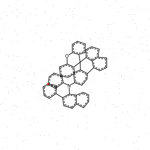 c1ccc(-c2ccc3ccccc3c2N(c2ccccc2)c2ccc3c(c2)C2(c4ccccc4Oc4ccccc42)c2cccc4cccc-3c24)cc1